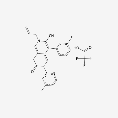 C=CCN1C=C2CC(=O)C(c3cc(C)ccn3)C=C2C(c2cccc(F)c2)=C1C#N.O=C(O)C(F)(F)F